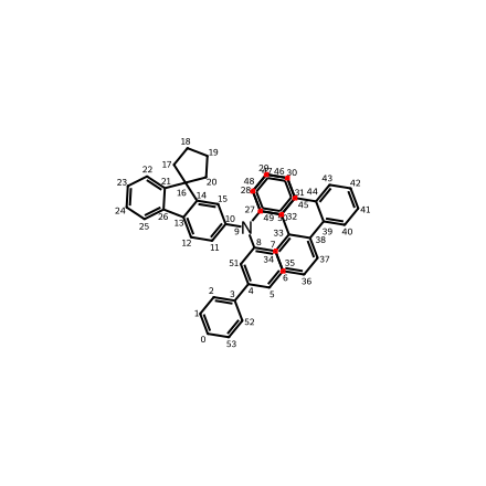 c1ccc(-c2cccc(N(c3ccc4c(c3)C3(CCCC3)c3ccccc3-4)c3ccccc3-c3ccccc3-c3ccccc3-c3ccccc3)c2)cc1